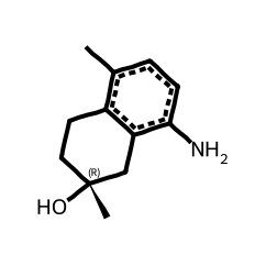 Cc1ccc(N)c2c1CC[C@@](C)(O)C2